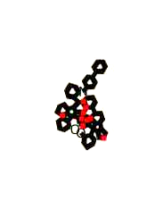 c1ccc(-c2ccc(N(c3ccc(-c4ccc5c(c4)C4(c6ccccc6Oc6ccccc64)c4ccccc4-5)cc3)c3ccccc3-c3cccc4c3-c3ccccc3C43c4ccccc4Oc4ccccc43)cc2)cc1